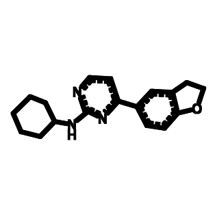 c1cc(-c2ccc3c(c2)CCO3)nc(NC2CCCCC2)n1